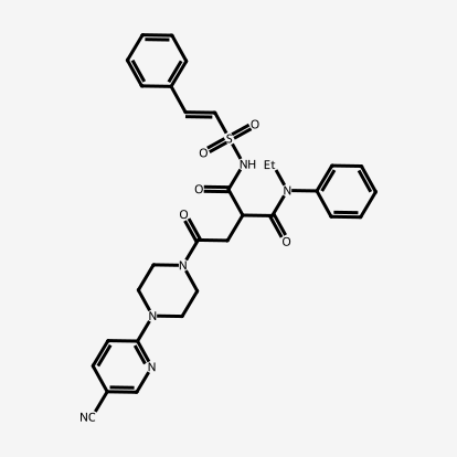 CCN(C(=O)C(CC(=O)N1CCN(c2ccc(C#N)cn2)CC1)C(=O)NS(=O)(=O)C=Cc1ccccc1)c1ccccc1